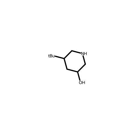 CC(C)(C)C1CNCC(O)C1